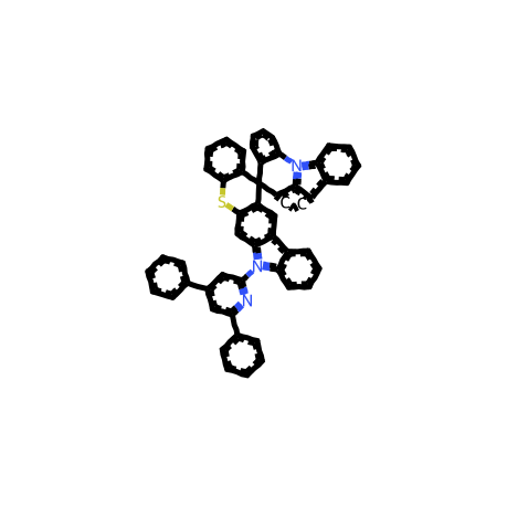 c1ccc(-c2cc(-c3ccccc3)nc(-n3c4ccccc4c4cc5c(cc43)Sc3ccccc3C53c4ccccc4-n4c5ccccc5c5cccc3c54)c2)cc1